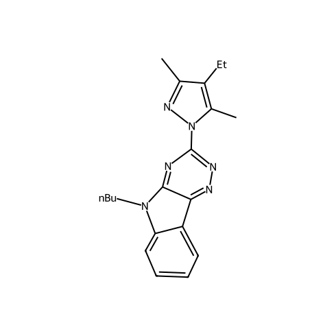 CCCCn1c2ccccc2c2nnc(-n3nc(C)c(CC)c3C)nc21